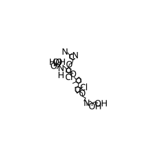 Cc1c(COc2cc(OCc3cncc(C#N)c3)c(CNC(C)(CO)C(=O)O)cc2Cl)cccc1-c1cccc(OCCCN(C)CC(O)CO)c1Cl